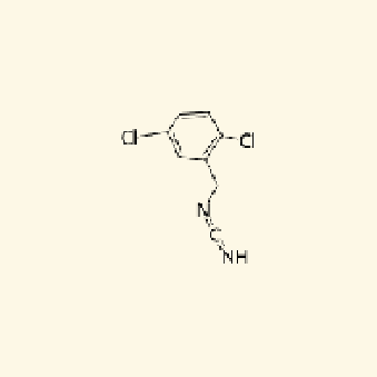 N=C=NCc1cc(Cl)ccc1Cl